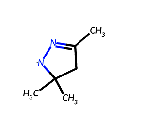 CC1=N[N]C(C)(C)C1